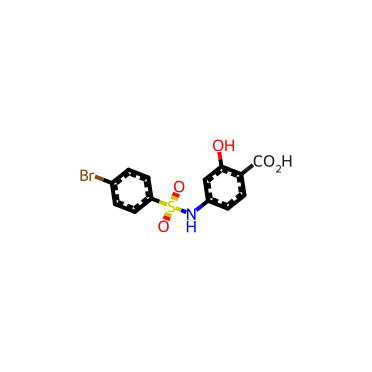 O=C(O)c1ccc(NS(=O)(=O)c2ccc(Br)cc2)cc1O